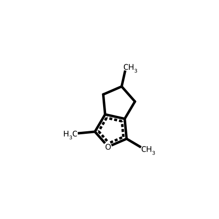 Cc1oc(C)c2c1CC(C)C2